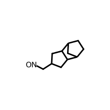 O=NCC1CC2C3CCC(C3)C2C1